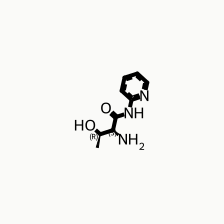 C[C@@H](O)[C@H](N)C(=O)Nc1ccccn1